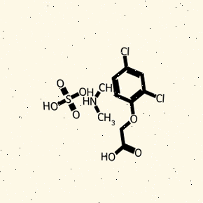 CNC.O=C(O)COc1ccc(Cl)cc1Cl.O=S(=O)(O)O